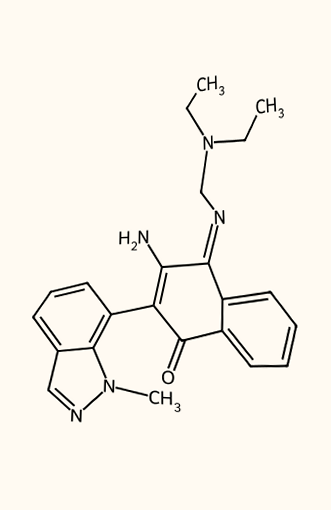 CCN(CC)C/N=C1\C(N)=C(c2cccc3cnn(C)c23)C(=O)c2ccccc21